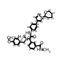 CNC(=O)c1cccc(C(C(=O)Nc2ccc(-c3cnn(C4CCCCO4)c3)cc2)N(C)Cc2ccc(OC)cc2)c1